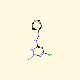 ClC1=NN(Cl)NC(NCc2ccccc2)=C1